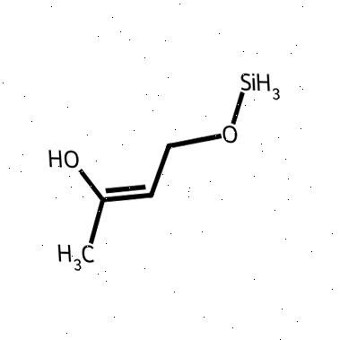 CC(O)=CCO[SiH3]